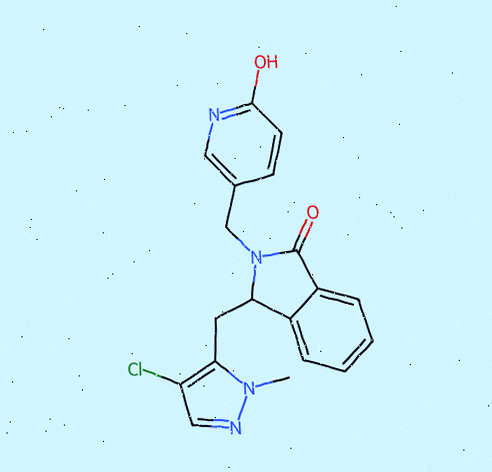 Cn1ncc(Cl)c1CC1c2ccccc2C(=O)N1Cc1ccc(O)nc1